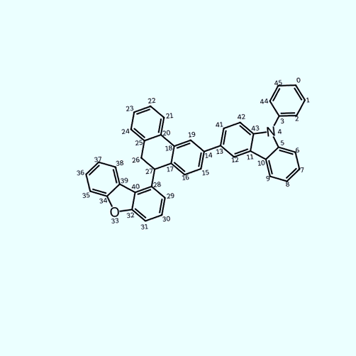 c1ccc(-n2c3ccccc3c3cc(-c4ccc5c(c4)-c4ccccc4CC5c4cccc5oc6ccccc6c45)ccc32)cc1